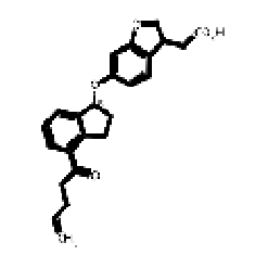 C=CCCC(=O)c1cccc2c1CC[C@H]2Oc1ccc2c(c1)OCC2CC(=O)O